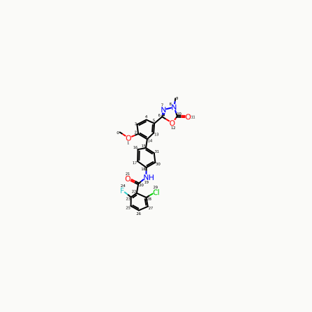 COc1ccc(-c2nn(C)c(=O)o2)cc1-c1ccc(NC(=O)c2c(F)cccc2Cl)cc1